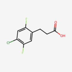 O=C(O)CCc1cc(F)c(Cl)cc1F